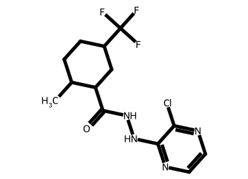 CC1CCC(C(F)(F)F)CC1C(=O)NNc1nccnc1Cl